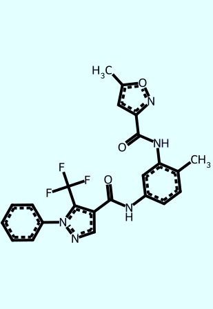 Cc1cc(C(=O)Nc2cc(NC(=O)c3cnn(-c4ccccc4)c3C(F)(F)F)ccc2C)no1